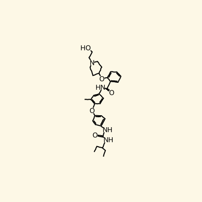 CCC(CC)NC(=O)Nc1ccc(Oc2ccc(NC(=O)c3ccccc3OC3CCN(CCO)CC3)cc2C)cc1